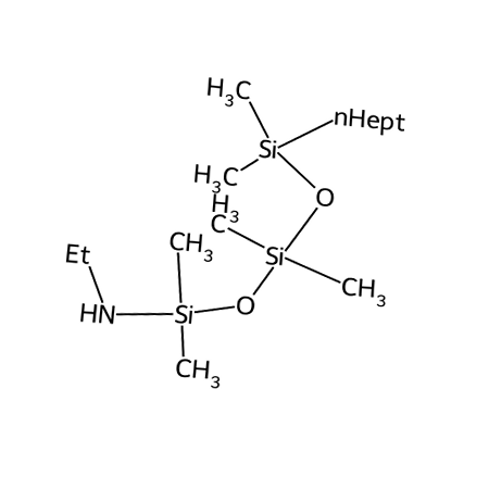 CCCCCCC[Si](C)(C)O[Si](C)(C)O[Si](C)(C)NCC